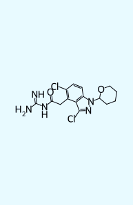 N=C(N)NC(=O)Cc1c(Cl)ccc2c1c(Cl)nn2C1CCCCO1